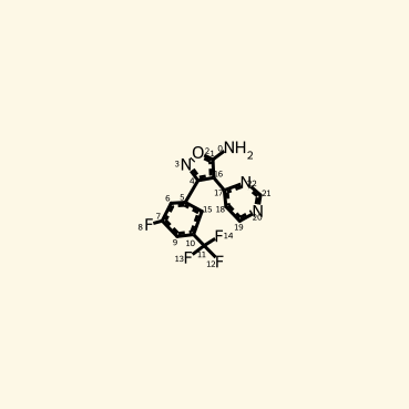 Nc1onc(-c2cc(F)cc(C(F)(F)F)c2)c1-c1ccncn1